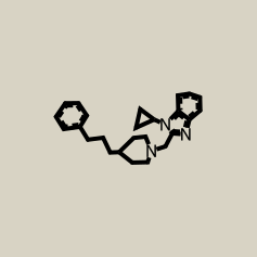 c1ccc(CCCC2CCN(Cc3nc4ccccc4n3C3CC3)CC2)cc1